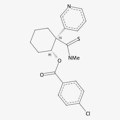 CNC(=S)[C@]1(c2cccnc2)CCCC[C@H]1OC(=O)c1ccc(Cl)cc1